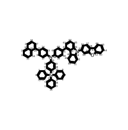 c1ccc([Si](c2ccccc2)(c2ccccc2)c2ccc(N(c3ccc(-c4cccc5ccccc45)cc3)c3ccc(-c4cccc5c4c4ccccc4n5-c4ccc5c(c4)oc4ccccc45)cc3)cc2)cc1